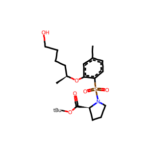 Cc1ccc(S(=O)(=O)N2CCC[C@H]2C(=O)OC(C)(C)C)c(O[C@@H](C)CCCCO)c1